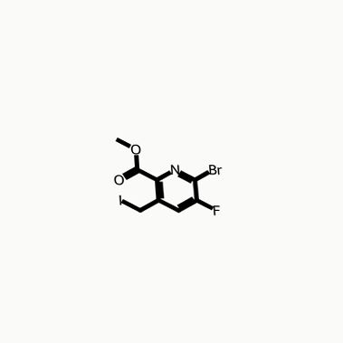 COC(=O)c1nc(Br)c(F)cc1CI